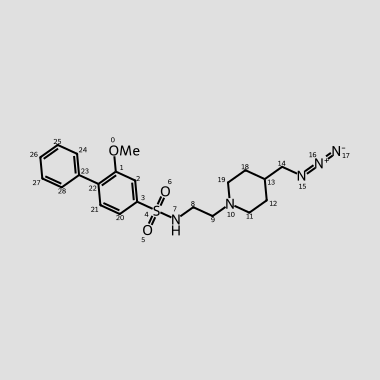 COc1cc(S(=O)(=O)NCCN2CCC(CN=[N+]=[N-])CC2)ccc1-c1ccccc1